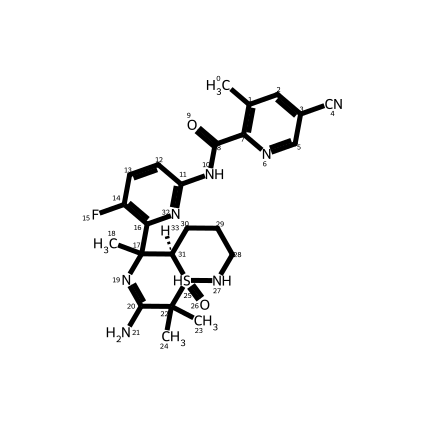 Cc1cc(C#N)cnc1C(=O)Nc1ccc(F)c(C2(C)N=C(N)C(C)(C)[SH]3(=O)NCCC[C@H]23)n1